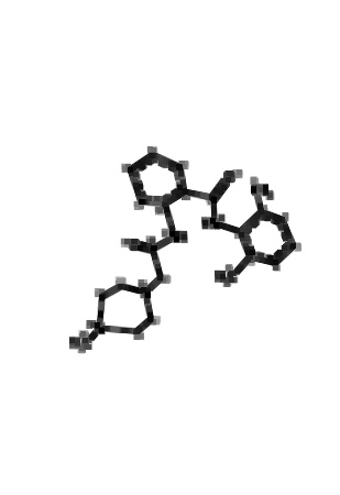 Cc1cccc(C)c1NC(=O)c1ccccc1NC(=O)CN1CCN(C)CC1